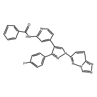 O=C(Nc1cc(-c2cn(-c3ccc4nncn4n3)nc2-c2ccc(F)cc2)ccn1)c1ccccc1